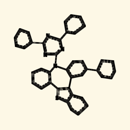 c1ccc(-c2ccc3c(c2)-c2c(sc4ccccc24)-c2ccccc2N3c2nc(-c3ccccc3)nc(-c3ccccc3)n2)cc1